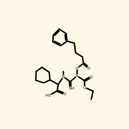 CCOC(=O)N(OC(=O)CCCc1ccccc1)C(=N)N(C)C(C(=O)O)C1CCCCC1